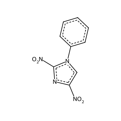 O=[N+]([O-])c1cn(-c2ccccc2)c([N+](=O)[O-])n1